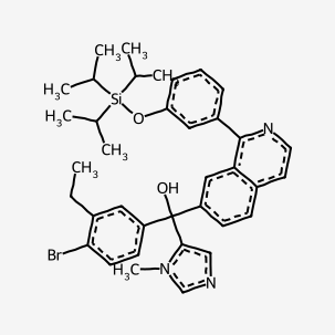 CCc1cc(C(O)(c2ccc3ccnc(-c4cccc(O[Si](C(C)C)(C(C)C)C(C)C)c4)c3c2)c2cncn2C)ccc1Br